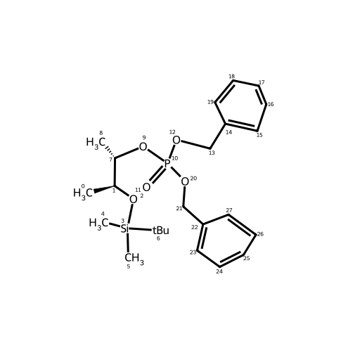 C[C@H](O[Si](C)(C)C(C)(C)C)[C@H](C)OP(=O)(OCc1ccccc1)OCc1ccccc1